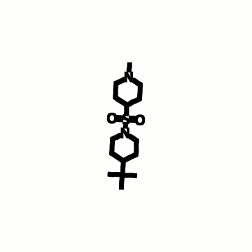 CN1CCC(S(=O)(=O)N2CCC(C(C)(C)C)CC2)CC1